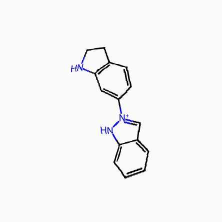 c1ccc2[nH][n+](-c3ccc4c(c3)NCC4)cc2c1